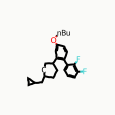 CCCCOc1ccc(-c2cccc(F)c2F)c(C2CCC(CC3CC3)CC2)c1